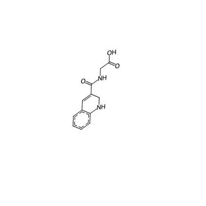 O=C(O)CNC(=O)C1=Cc2ccccc2NC1